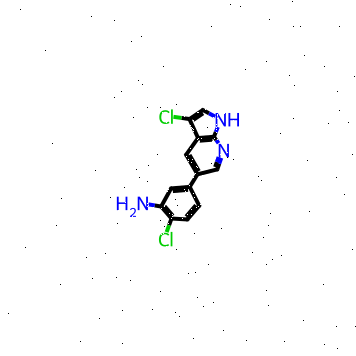 Nc1cc(-c2cnc3[nH]cc(Cl)c3c2)ccc1Cl